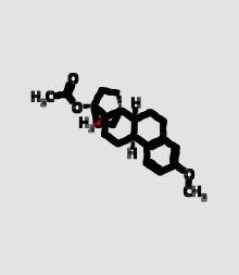 COc1ccc2c(c1)CC[C@@H]1[C@@H]2CC[C@]2(C)[C@]3(OC(C)=O)CC[C@@]12CC3